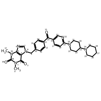 Cn1c(=O)c2c(ncn2Cc2ccc(C(=O)c3ccc(N4CCC(N5CCCCC5)CC4)nc3)cc2)n(C)c1=O